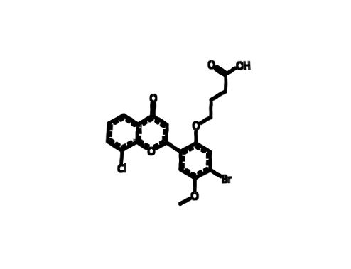 COc1cc(-c2cc(=O)c3cccc(Cl)c3o2)c(OCCCC(=O)O)cc1Br